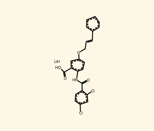 O=C(Nc1ccc(OC/C=C/c2ccccc2)cc1C(=O)O)c1ccc(Cl)cc1Cl.[LiH]